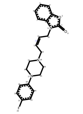 O=c1oc2ccccc2n1C/C=C\CN1CCN(c2ccc(F)cc2)CC1